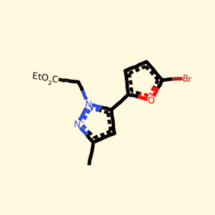 CCOC(=O)Cn1nc(C)cc1-c1ccc(Br)o1